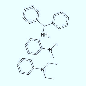 CCN(CC)c1ccccc1.CN(C)c1ccccc1.NC(c1ccccc1)c1ccccc1